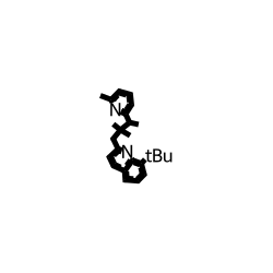 Cc1cccc(C(C)C(C)(C)Cc2ccc3cccc(C(C)(C)C)c3n2)n1